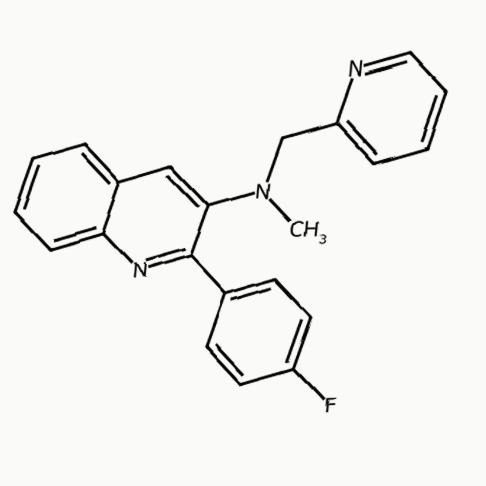 CN(Cc1ccccn1)c1cc2ccccc2nc1-c1ccc(F)cc1